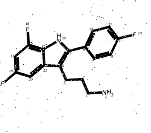 NCCCc1c(-c2ccc(F)cc2)[nH]c2c(F)cc(F)cc12